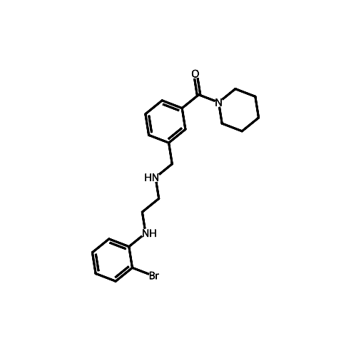 O=C(c1cccc(CNCCNc2ccccc2Br)c1)N1CCCCC1